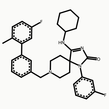 Cc1ccc(F)cc1-c1cccc(CN2CCC3(CC2)C(NC2CCCCC2)=NC(=O)N3c2cccc(F)c2)c1